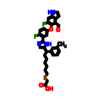 Cc1cccc(C(CCCCCCSCC(=O)O)c2cnc(-c3cc(Oc4c(F)cc5[nH]ccc5c4C=O)ccc3F)[nH]2)c1